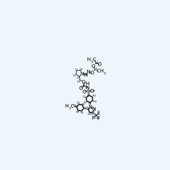 CC(=O)OC(C)ON=NN1CCCC1COC(=O)NS(=O)(=O)c1ccc(-n2nc(C(F)(F)F)cc2-c2ccc(C)cc2)cc1